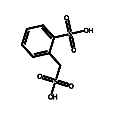 O=S(=O)(O)Cc1ccccc1S(=O)(=O)O